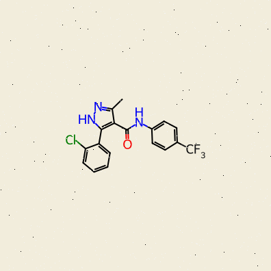 Cc1n[nH]c(-c2ccccc2Cl)c1C(=O)Nc1ccc(C(F)(F)F)cc1